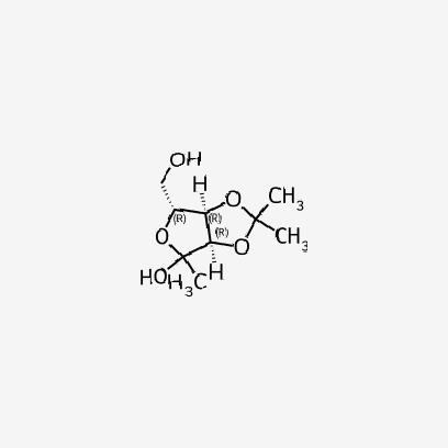 CC1(C)O[C@H]2[C@@H](O1)C(C)(O)O[C@@H]2CO